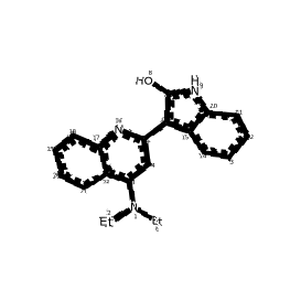 CCN(CC)c1cc(-c2c(O)[nH]c3ccccc23)nc2ccccc12